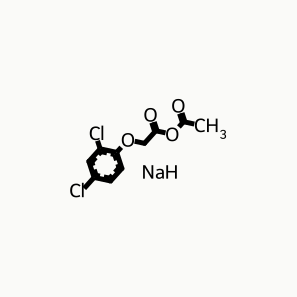 CC(=O)OC(=O)COc1ccc(Cl)cc1Cl.[NaH]